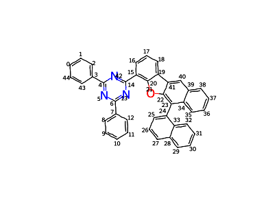 c1ccc(-c2nc(-c3ccccc3)nc(-c3cccc4c3oc3c(-c5cccc6ccccc56)c5ccccc5cc34)n2)cc1